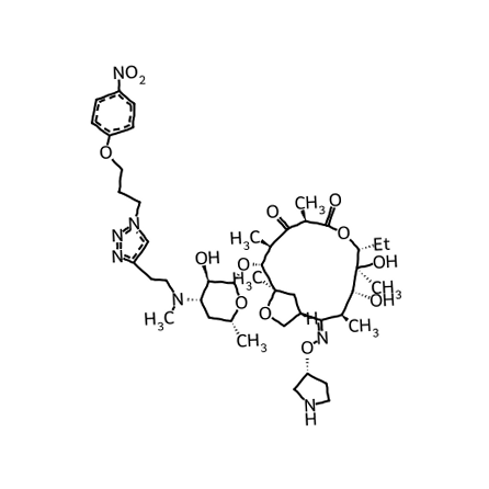 CC[C@H]1OC(=O)[C@H](C)C(=O)[C@H](C)[C@@H](O[C@@H]2O[C@H](C)C[C@H](N(C)CCc3cn(CCCOc4ccc([N+](=O)[O-])cc4)nn3)[C@H]2O)[C@@]2(C)C[C@@H](CO2)/C(=N\O[C@@H]2CCNC2)[C@H](C)[C@@H](O)[C@]1(C)O